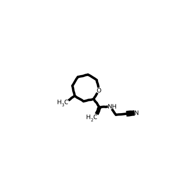 C=C(NCC#N)C1CC(C)CCCCO1